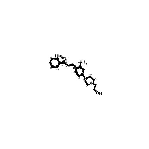 Nc1cc(N2CCN(CCO)CC2)ccc1C=Cc1n[nH]c2ccccc12